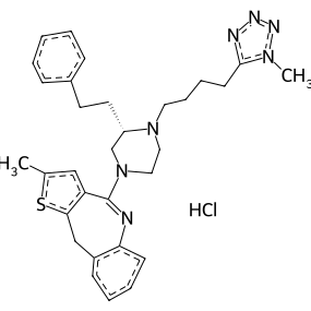 Cc1cc2c(s1)Cc1ccccc1N=C2N1CCN(CCCCc2nnnn2C)[C@@H](CCc2ccccc2)C1.Cl